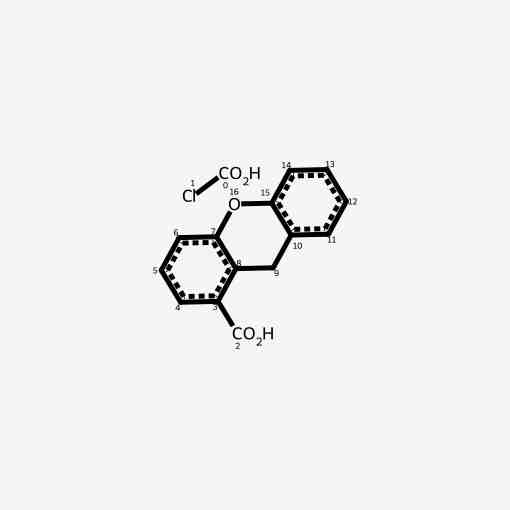 O=C(O)Cl.O=C(O)c1cccc2c1Cc1ccccc1O2